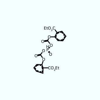 CCOC(=O)c1ccccc1OC(=O)O[PH](=O)OC(=O)Oc1ccccc1C(=O)OCC